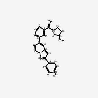 O=C(c1cccc(-c2ccn3nc(-c4ccc(F)cc4)cc3c2)c1)N1CCC(O)C1